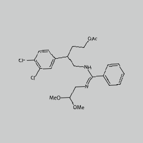 COC(CN=C(NCC(CCOC(C)=O)c1ccc(Cl)c(Cl)c1)c1ccccc1)OC